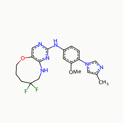 COc1cc(Nc2ncc3c(n2)NCC(F)(F)CCCO3)ccc1-n1cnc(C)c1